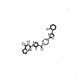 Cc1c(C(=O)N2CCN(c3nc(-c4ccccc4F)cs3)CC2)cnn1-c1nn2cccc2c(=O)[nH]1